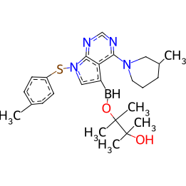 Cc1ccc(Sn2cc(BOC(C)(C)C(C)(C)O)c3c(N4CCCC(C)C4)ncnc32)cc1